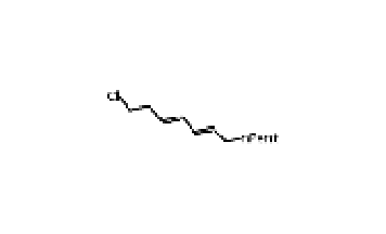 CCCCCCC=CC=CCCCl